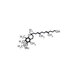 C/C(=C\CCC1(C)CCc2c(C)c(O[Si](C)(C)C(C)(C)C)c(C)c(C)c2O1)CC/C=C(\C)CCCO